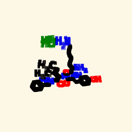 CC[C@H](C)[C@H](NC(=O)[C@H](Cc1ccc(O)cc1)NC(=O)[C@@H](N)CCCCN)C(=O)NCc1ccccc1.Cl.Cl